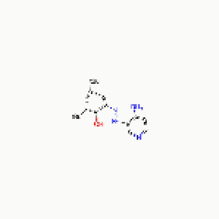 CC(C)(C)c1cc(/N=N/c2cnccc2N)c(O)c(C(C)(C)C)c1